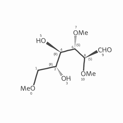 COC[C@@H](O)[C@@H](O)[C@H](OC)[C@@H](C=O)OC